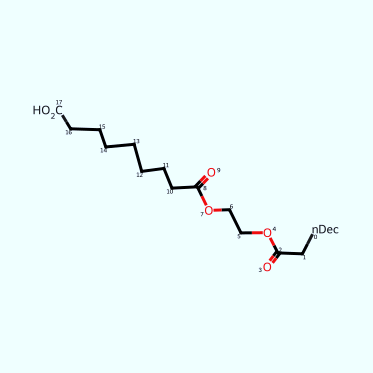 CCCCCCCCCCCC(=O)OCCOC(=O)CCCCCCCC(=O)O